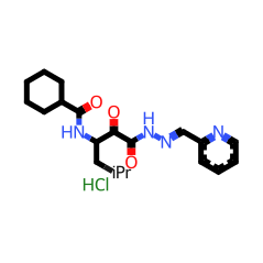 CC(C)CC(NC(=O)C1CCCCC1)C(=O)C(=O)N/N=C/c1ccccn1.Cl